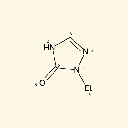 CCn1nc[nH]c1=O